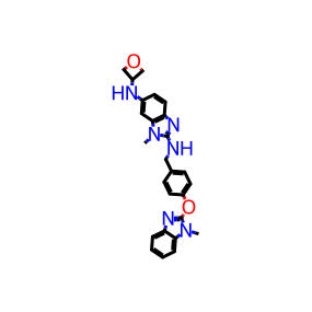 Cn1c(NCc2ccc(Oc3nc4ccccc4n3C)cc2)nc2ccc(NC3COC3)cc21